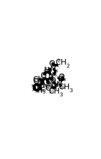 C=CC(=O)N1CCN2C(=O)c3c(N4C[C@@H](N(C)C5COC5)CC4(C)C)nc(-c4c(O)cccc4F)c(Cl)c3OC[C@H]2C1